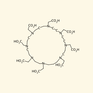 O=C(O)CN1CCCN(CC(=O)O)CCN(CC(=O)O)CCN(CC(=O)O)CCN(CC(=O)O)CCCN(CC(=O)O)CCN(CC(=O)O)CCN(CC(=O)O)CC1